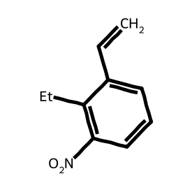 C=Cc1cccc([N+](=O)[O-])c1CC